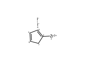 [I-].[I-].[Zr+2][C]1=CC=CC1